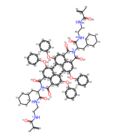 C=C(C)C(=O)NCCNC(=O)C(CC1CCCCC1)N1C(=O)c2cc(Oc3ccccc3)c3c4c(Oc5ccccc5)cc5c6c(cc(Oc7ccccc7)c(c7c(Oc8ccccc8)cc(c2c37)C1=O)c64)C(=O)N(C(CC1CCCCC1)C(=O)NCCNC(=O)C(=C)C)C5=O